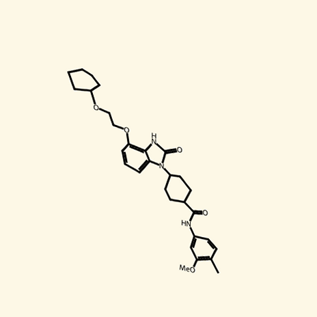 COc1cc(NC(=O)C2CCC(n3c(=O)[nH]c4c(OCCOC5CCCCC5)cccc43)CC2)ccc1C